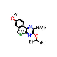 CCCC(CC)Oc1nc(Br)c(-c2ccc(OC(C)C)cc2OC)nc1NC